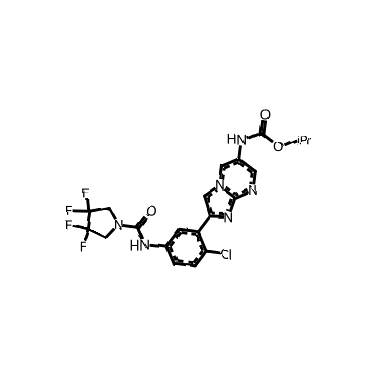 CC(C)OC(=O)Nc1cnc2nc(-c3cc(NC(=O)N4CC(F)(F)C(F)(F)C4)ccc3Cl)cn2c1